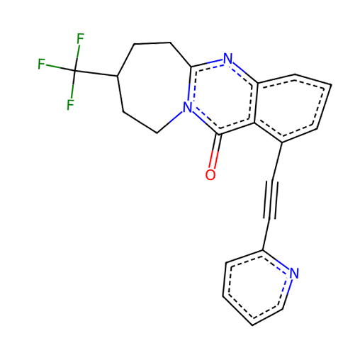 O=c1c2c(C#Cc3ccccn3)cccc2nc2n1CCC(C(F)(F)F)CC2